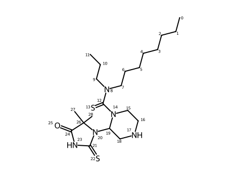 CCCCCCCCN(CCC)C(=S)N1CCNCC1N1C(=S)NC(=O)C1(C)C